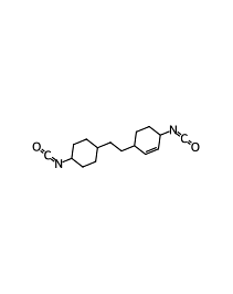 O=C=NC1C=CC(CCC2CCC(N=C=O)CC2)CC1